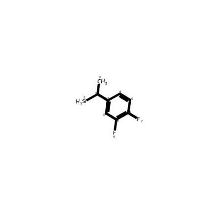 CC([SiH3])c1ccc(F)c(F)c1